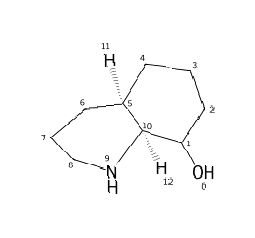 OC1CCC[C@@H]2CCCN[C@H]12